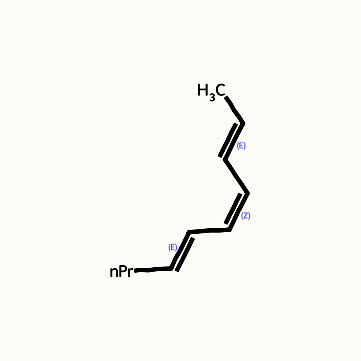 C/C=C/C=C\C=C\CCC